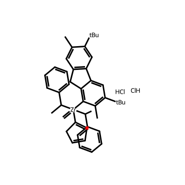 Cl.Cl.[CH2]=[Zr]([C]1=CC=CC1)([c]1c(C)c(C(C)(C)C)cc2c1Cc1cc(C)c(C(C)(C)C)cc1-2)([CH](C)c1ccccc1)[CH](C)c1ccccc1